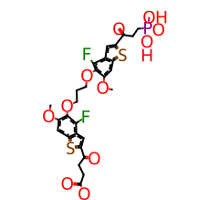 COC(=O)CCC(=O)c1cc2c(F)c(OCCCOc3c(OC)cc4sc(C(=O)CCP(=O)(O)O)cc4c3F)c(OC)cc2s1